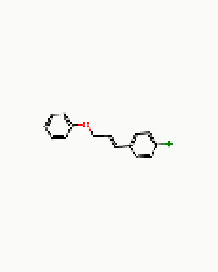 Fc1ccc(/C=C/COc2ccccc2)cc1